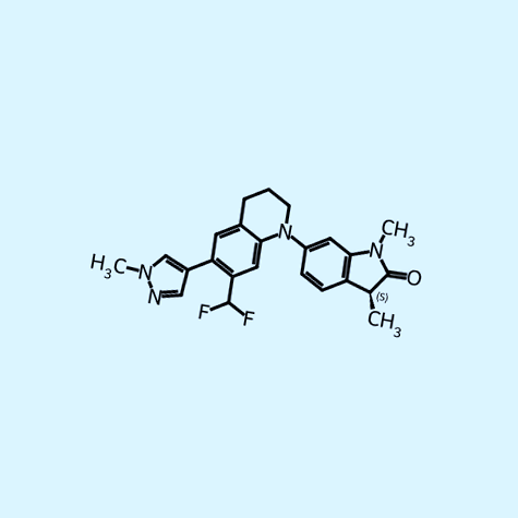 C[C@@H]1C(=O)N(C)c2cc(N3CCCc4cc(-c5cnn(C)c5)c(C(F)F)cc43)ccc21